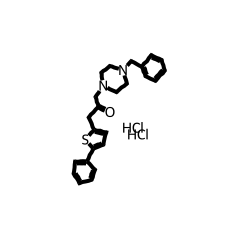 Cl.Cl.O=C(Cc1ccc(-c2ccccc2)s1)CN1CCN(Cc2ccccc2)CC1